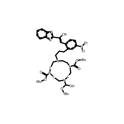 CCN(CC)c1ccc(/C=C(\C#N)c2nc3ccccc3s2)c(CCCN2CCN(C(=O)OC(C)(C)C)CCN(C(O)OC(C)(C)C)CCN(C(=O)OC(C)(C)C)CC2)c1